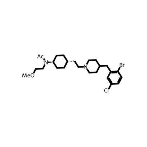 COCCN(C(C)=O)[C@H]1CC[C@H](CCN2CCC(Cc3cc(Cl)ccc3Br)CC2)CC1